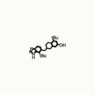 CC(C)(C)c1cc(O)cc2c1CCC(Cc1ccc3nn[nH]c3c1C(C)(C)C)C2